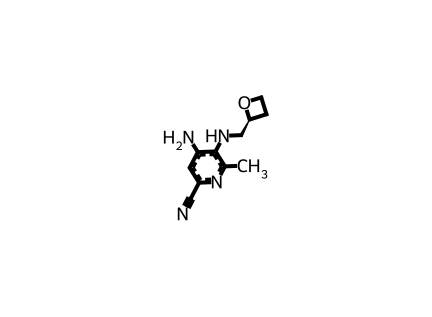 Cc1nc(C#N)cc(N)c1NC[C@@H]1CCO1